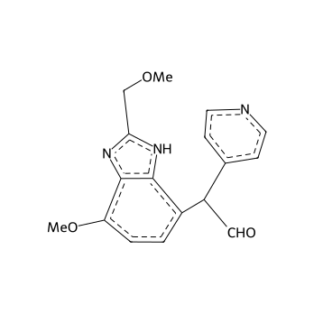 COCc1nc2c(OC)ccc(C(C=O)c3ccncc3)c2[nH]1